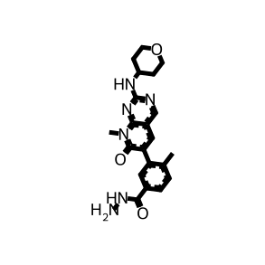 Cc1ccc(C(=O)NN)cc1-c1cc2cnc(NC3CCOCC3)nc2n(C)c1=O